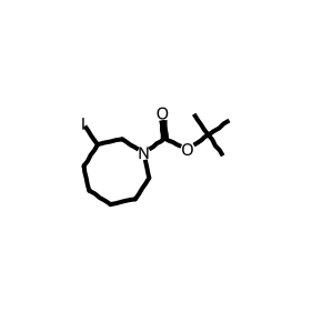 CC(C)(C)OC(=O)N1CCCCCC(I)C1